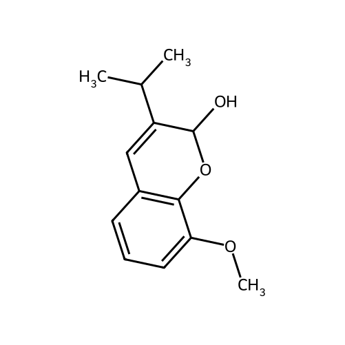 COc1cccc2c1OC(O)C(C(C)C)=C2